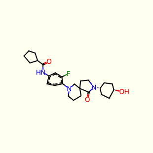 O=C(Nc1ccc(N2CCCC3(CCN([C@H]4CC[C@H](O)CC4)C3=O)C2)c(F)c1)C1CCCC1